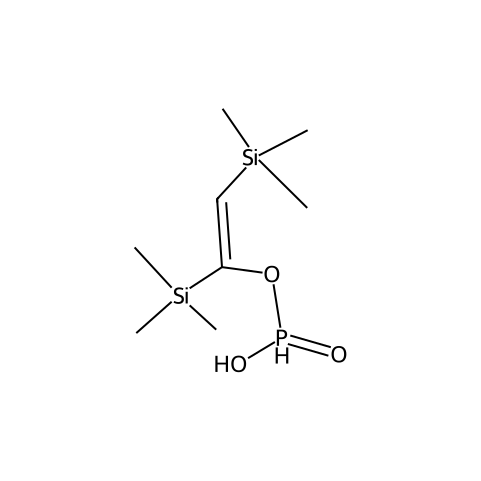 C[Si](C)(C)C=C(O[PH](=O)O)[Si](C)(C)C